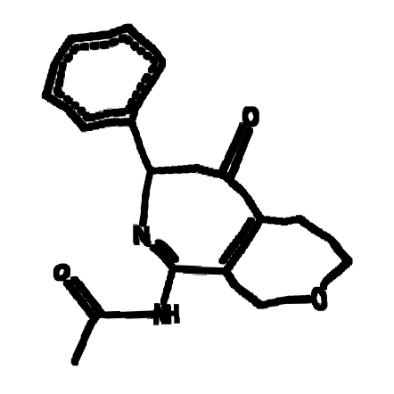 CC(=O)NC1=NC(c2ccccc2)C(=O)C2=C1COCC2